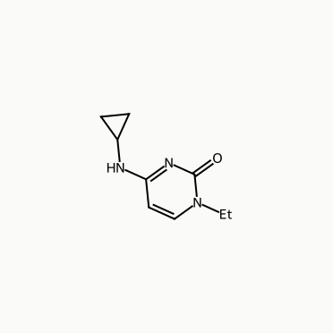 CCn1ccc(NC2CC2)nc1=O